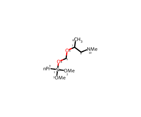 CCC[Si](OC)(OC)OCOC(C)CNC